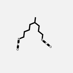 CC(CCCCN=C=O)CCCN=C=O